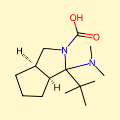 CN(C)C1(C(C)(C)C)[C@H]2CCC[C@H]2CN1C(=O)O